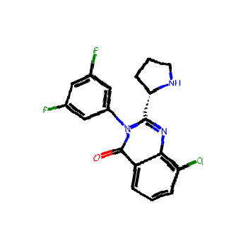 O=c1c2cccc(Cl)c2nc([C@@H]2CCCN2)n1-c1cc(F)cc(F)c1